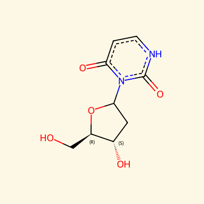 O=c1cc[nH]c(=O)n1C1C[C@H](O)[C@@H](CO)O1